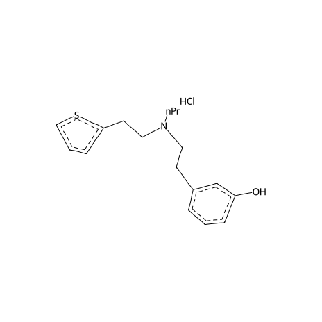 CCCN(CCc1cccc(O)c1)CCc1cccs1.Cl